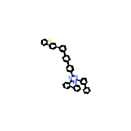 c1ccc(-c2cccc(-c3nc(-c4ccc(-c5ccc(-c6cccc(-c7ccc8c(c7)sc7ccccc78)c6)cc5)cc4)nc(-c4ccccc4-c4ccccc4)n3)c2)cc1